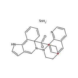 O=S(=O)(c1cccc2cccnc12)C12C=CC=CC1=c1[nH]ccc1=CN2N1CCCCC1.[SnH2]